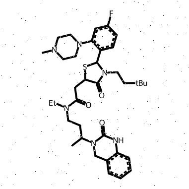 CCN(CCC(C)N1Cc2ccccc2NC1=O)C(=O)CC1SC(c2ccc(F)cc2N2CCN(C)CC2)N(CCC(C)(C)C)C1=O